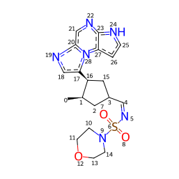 C[C@@H]1CC(/C=N\S(=O)(=O)N2CCOCC2)C[C@@H]1c1cnc2cnc3[nH]ccc3n12